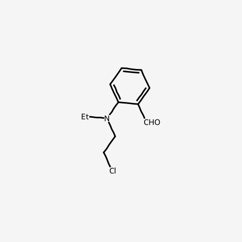 CCN(CCCl)c1ccccc1C=O